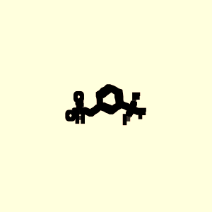 O=[SH](=O)Cc1cccc(C(F)(F)F)c1